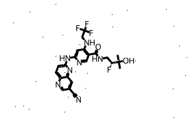 CC(C)(O)[C@H](F)CNC(=O)c1cnc(Nc2ccc3ncc(C#N)cc3n2)cc1NCC(F)(F)F